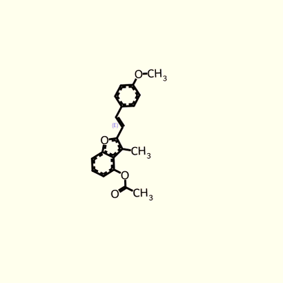 COc1ccc(/C=C/c2oc3cccc(OC(C)=O)c3c2C)cc1